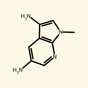 Cn1cc(N)c2cc(N)cnc21